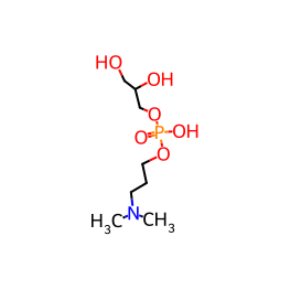 CN(C)CCCOP(=O)(O)OCC(O)CO